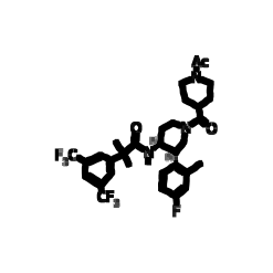 CC(=O)N1CCC(C(=O)N2CC[C@H](N(C)C(=O)C(C)(C)c3cc(C(F)(F)F)cc(C(F)(F)F)c3)[C@@H](c3ccc(F)cc3C)C2)CC1